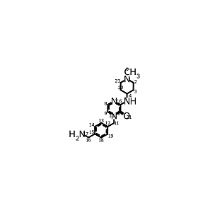 CN1CCC(Nc2nccn(Cc3ccc(CN)cc3)c2=O)CC1